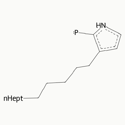 CCCCCCCCCCCCc1cc[nH]c1[P]